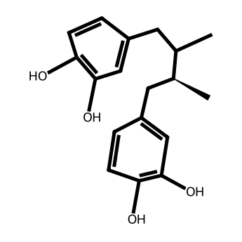 CC(Cc1ccc(O)c(O)c1)[C@@H](C)Cc1ccc(O)c(O)c1